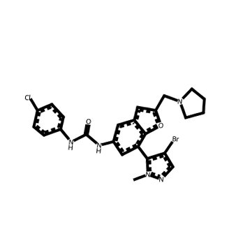 Cn1ncc(Br)c1-c1cc(NC(=O)Nc2ccc(Cl)cc2)cc2cc(CN3CCCC3)oc12